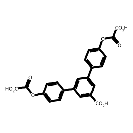 O=C(O)C(=O)Oc1ccc(-c2cc(C(=O)O)cc(-c3ccc(OC(=O)C(=O)O)cc3)c2)cc1